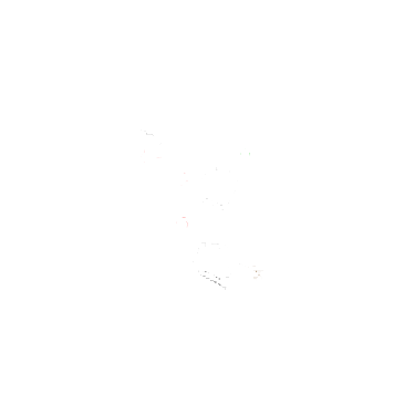 COCOc1cc(Cl)ccc1Oc1cccc(Br)c1